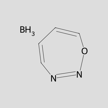 B.C1=CN=NOC=C1